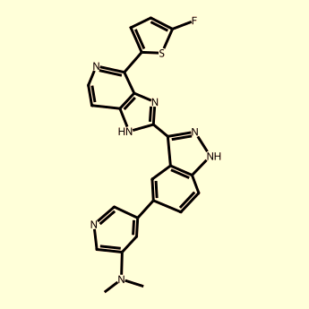 CN(C)c1cncc(-c2ccc3[nH]nc(-c4nc5c(-c6ccc(F)s6)nccc5[nH]4)c3c2)c1